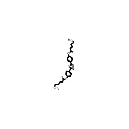 CCC/C=C/C(=O)Oc1ccc(-c2nnc(-c3ccc(OC(=O)/C=C/CCC)cc3)s2)cc1